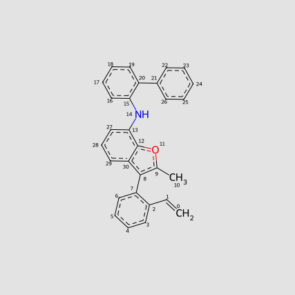 C=Cc1ccccc1-c1c(C)oc2c(Nc3ccccc3-c3ccccc3)cccc12